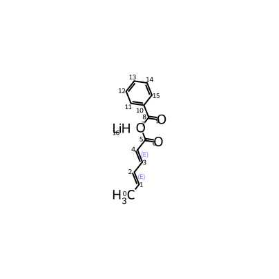 C/C=C/C=C/C(=O)OC(=O)c1ccccc1.[LiH]